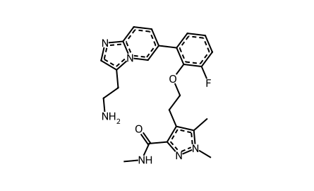 CNC(=O)c1nn(C)c(C)c1CCOc1c(F)cccc1-c1ccc2ncc(CCN)n2c1